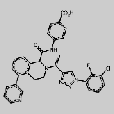 O=C(O)c1ccc(NC(=O)C2c3cccc(-c4cccnc4)c3CCN2C(=O)c2cn(-c3cccc(Cl)c3F)nn2)cc1